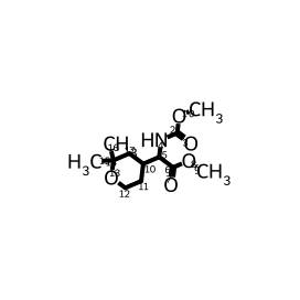 COC(=O)NC(C(=O)OC)C1CCOC(C)(C)C1